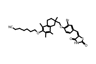 Cc1c(C)c(OCCCCCCC#N)c(C)c2c1CC(C)(COc1ccc(C=C3SC(=O)NC3=O)cc1Br)CC2